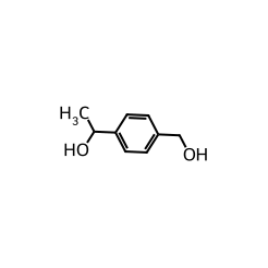 CC(O)c1ccc(CO)cc1